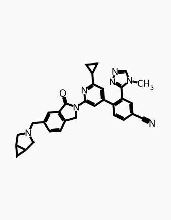 Cn1cnnc1-c1cc(C#N)ccc1-c1cc(C2CC2)nc(N2Cc3ccc(CN4CC5CC5C4)cc3C2=O)c1